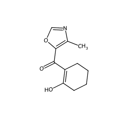 Cc1ncoc1C(=O)C1=C(O)CCCC1